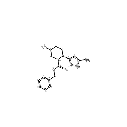 C[C@H]1CC[C@@H](c2cc(N)[nH]n2)N(C(=O)OCc2ccccc2)C1